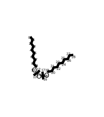 CCCCCCCCCCOC(C)(C)OC(C)(C)OCCCCCCCCCC